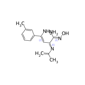 C=C(C)/N=C(\C=C(/N)c1cccc(C)c1)C(/N)=N/O